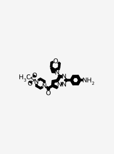 CS(=O)(=O)N1CCN(C(=O)c2cc3c(N4CC5COCC4C5)nc(-c4ccc(N)cc4)nn3c2)CC1